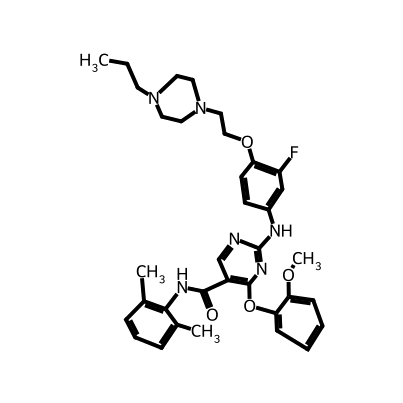 CCCN1CCN(CCOc2ccc(Nc3ncc(C(=O)Nc4c(C)cccc4C)c(Oc4ccccc4OC)n3)cc2F)CC1